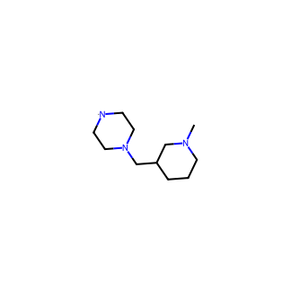 CN1CCCC(CN2CC[N]CC2)C1